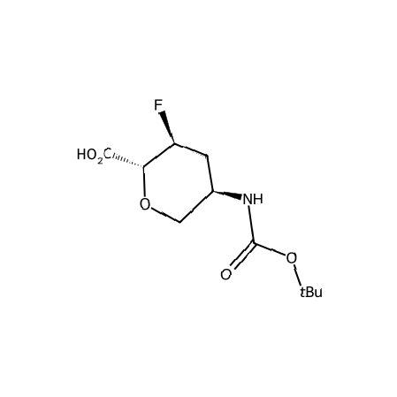 CC(C)(C)OC(=O)N[C@H]1CO[C@H](C(=O)O)[C@@H](F)C1